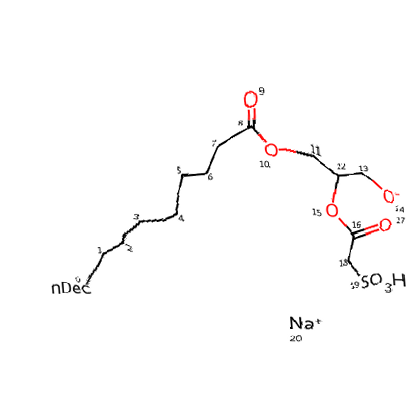 CCCCCCCCCCCCCCCCCC(=O)OCC(C[O-])OC(=O)CS(=O)(=O)O.[Na+]